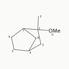 COC1(C)CC2CCC1C2